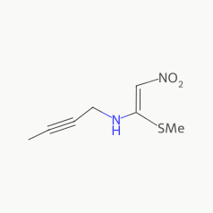 CC#CCN/C(=C/[N+](=O)[O-])SC